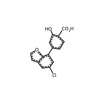 O=C(O)c1ccc(-c2cc(Cl)cc3ccoc23)cc1O